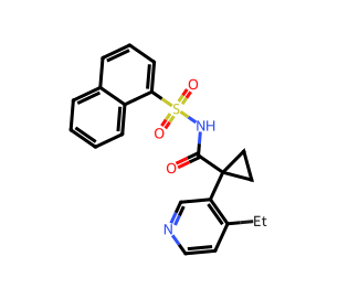 CCc1ccncc1C1(C(=O)NS(=O)(=O)c2cccc3ccccc23)CC1